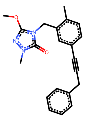 COc1nn(C)c(=O)n1Cc1cc(C#CCc2ccccc2)ccc1C